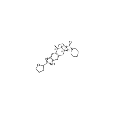 CC1(C)[C@H]2Cc3cc4[nH]c(C5CCCO5)nc4cc3[C@]1(C)CCN2C(=O)N1CCCCC1